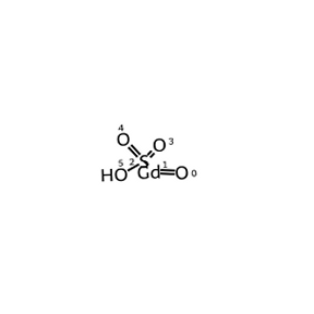 [O]=[Gd][S](=O)(=O)O